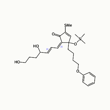 CSC1=CC(CCCCOc2ccccc2)(O[Si](C)(C)C)/C(=C/C=C/C(O)CCCO)C1=O